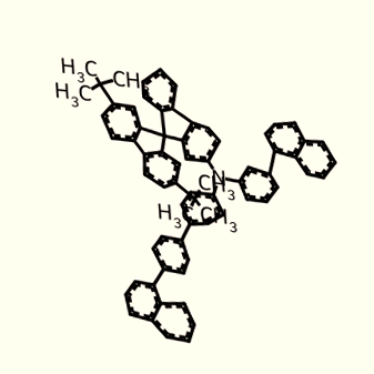 CC(C)(C)c1ccc2c(c1)C1(c3ccccc3-c3ccc(N(c4ccc(-c5ccc(-c6cccc7ccccc67)cc5)cc4)c4cccc(-c5cccc6ccccc56)c4)cc31)c1cc(C(C)(C)C)ccc1-2